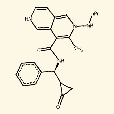 CCCNN1C=C2C=CNC=C2C(C(=O)N[C@H](c2ccccc2)C2CC2=O)=C1C